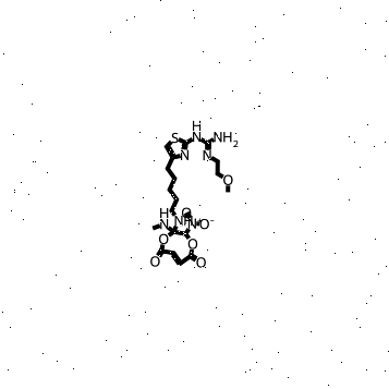 CNC1(NCCCCCc2csc(NC(N)=NCCOC)n2)OC(=O)/C=C/C(=O)OC1[N+](=O)[O-]